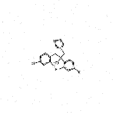 OC(Cc1ccc(Cl)cc1Cl)(Cn1ccnc1)c1ccc(Cl)cc1Br